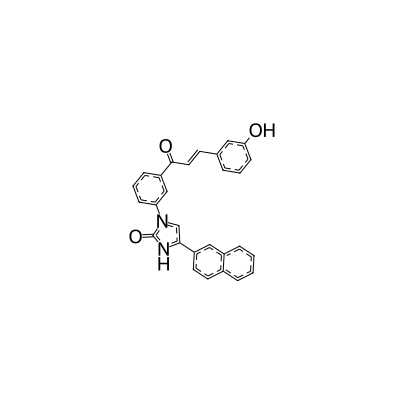 O=C(C=Cc1cccc(O)c1)c1cccc(-n2cc(-c3ccc4ccccc4c3)[nH]c2=O)c1